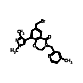 Cc1ccnc(CN2CCOc3c(cc(CBr)cc3-c3cn(C)nc3C(F)(F)F)C2=O)c1